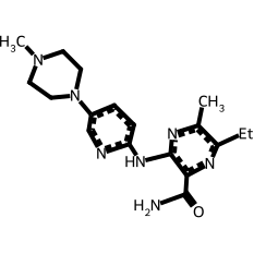 CCc1nc(C(N)=O)c(Nc2ccc(N3CCN(C)CC3)cn2)nc1C